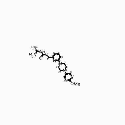 COc1ncc(N2CCN(c3cccc(COC(=O)NC(=N)N)n3)CC2)cn1